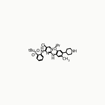 Cc1cc(Nc2ncc(Cl)c(Nc3ccccc3S(=O)(=O)C(C)(C)C)n2)c(OC(C)C)cc1C1CCNCC1